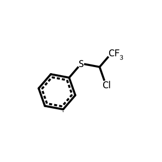 FC(F)(F)C(Cl)Sc1c[c]ccc1